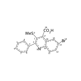 CSc1c(-c2ccccc2)nc2ccc(Br)cc2c1C(=O)O